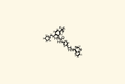 O=C(Nc1ncc(CCNc2ncnc3ccsc23)s1)Nc1cc(C(F)(F)F)ccc1CCN1CCCC1